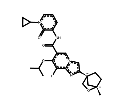 CC(C)Oc1c(C(=O)Nc2cccn(C3CC3)c2=O)cn2cc([C@@]34CC[C@@](C)(C3)OC4)nc2c1F